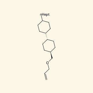 C=CCOC[C@H]1CC[C@H](C2CCC(CCCCCCC)CC2)CC1